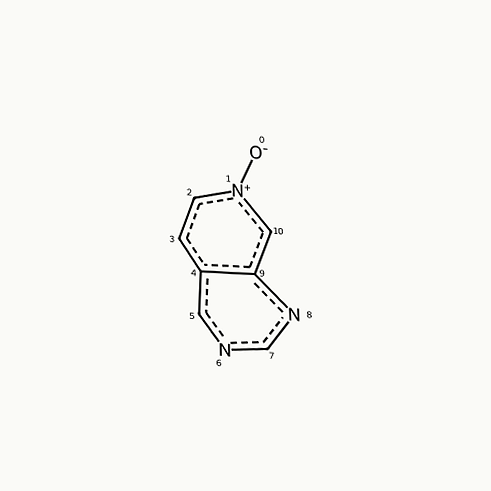 [O-][n+]1ccc2cncnc2c1